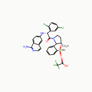 CCS(=O)(=O)c1ccccc1C1C(C(=O)O)CCN1C(=O)[C@H](Nc1ccc2c(N)nccc2c1)c1cc(Cl)ccc1F.O=C(O)C(F)(F)F